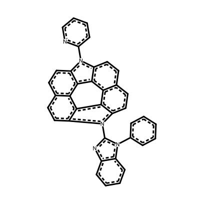 c1ccc(-n2c(-n3c4ccc5ccc6c7c5c4c4c5c(ccc(c57)n6-c5ccccn5)ccc43)nc3ccccc32)cc1